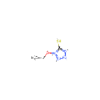 CCOn1nnnc1S